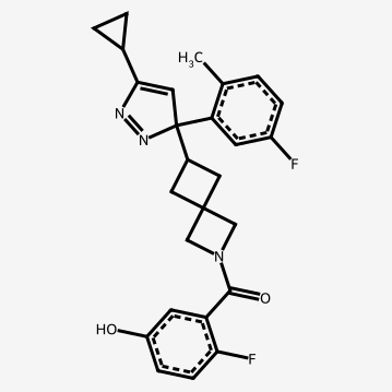 Cc1ccc(F)cc1C1(C2CC3(C2)CN(C(=O)c2cc(O)ccc2F)C3)C=C(C2CC2)N=N1